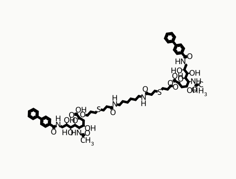 CC(=O)N[C@@H]1[C@H]([C@H](O)[C@H](O)CNC(=O)c2ccc(-c3ccccc3)cc2)O[C@@](OCCCSCCC(=O)NCCCCCCNC(=O)CCSCCCO[C@]2(C(=O)O)C[C@H](O)[C@@H](NC(C)=O)[C@H]([C@H](O)[C@H](O)CNC(=O)c3ccc(-c4ccccc4)cc3)O2)(C(=O)O)C[C@H]1O